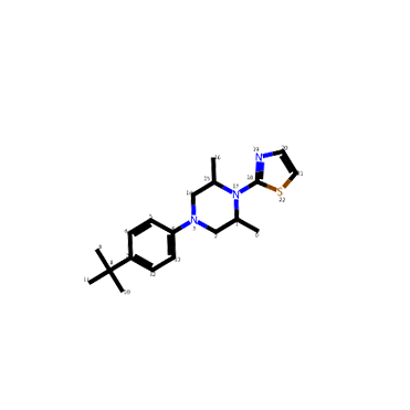 CC1CN(c2ccc(C(C)(C)C)cc2)CC(C)N1c1nccs1